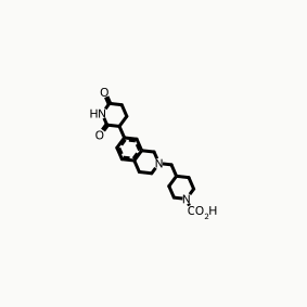 O=C1CCC(c2ccc3c(c2)CN(CC2CCN(C(=O)O)CC2)CC3)C(=O)N1